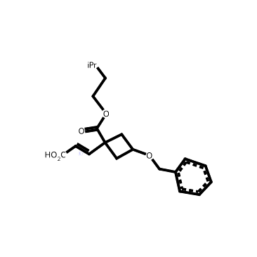 CC(C)CCOC(=O)C1(/C=C/C(=O)O)CC(OCc2ccccc2)C1